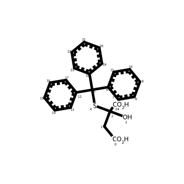 O=C(O)CC(O)(SC(c1ccccc1)(c1ccccc1)c1ccccc1)C(=O)O